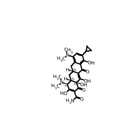 CN(C)c1cc(C2CC2)c(O)c2c1C[C@H]1C[C@H]3[C@H](N(C)C)C(O)=C(C(N)=O)C(=O)[C@@]3(O)C(O)=C1C2=O